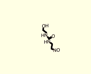 O=NCCNC(=O)NCCO